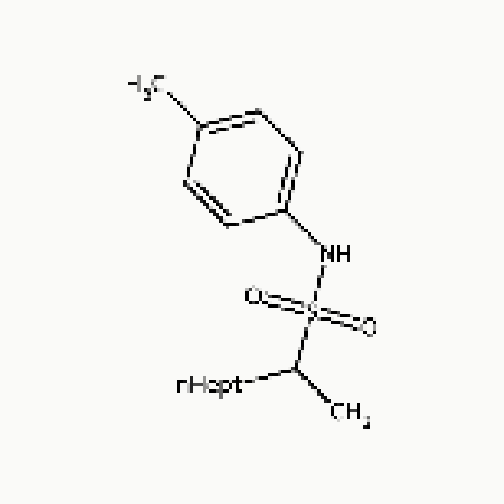 CCCCCCCC(C)S(=O)(=O)Nc1ccc(C)cc1